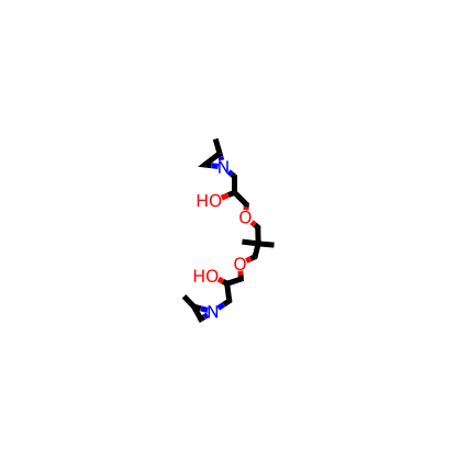 CC1CN1CC(O)COCC(C)(C)COCC(O)CN1CC1C